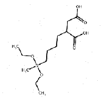 CCO[Si](C)(CCCCC(CC(=O)O)C(=O)O)OCC